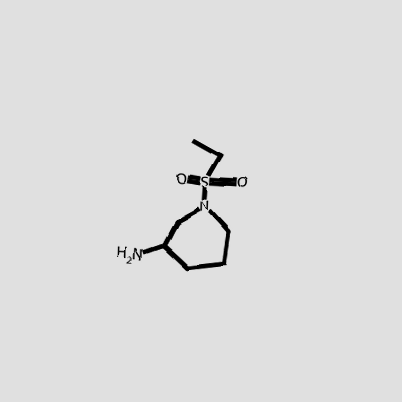 CCS(=O)(=O)N1CCCC(N)C1